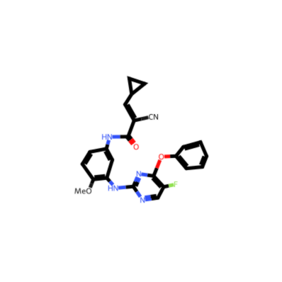 COc1ccc(NC(=O)C(C#N)=CC2CC2)cc1Nc1ncc(F)c(Oc2ccccc2)n1